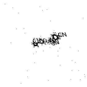 Cn1cccc1-c1ccc(OC[C@@H]2Cn3c(nc4cc(C#N)ccc43)O2)cn1